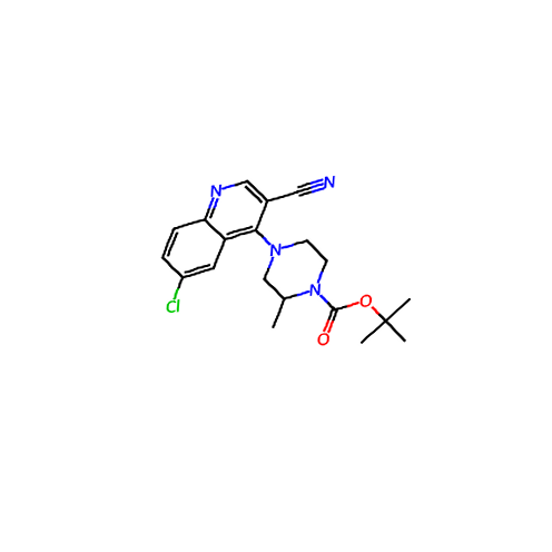 CC1CN(c2c(C#N)cnc3ccc(Cl)cc23)CCN1C(=O)OC(C)(C)C